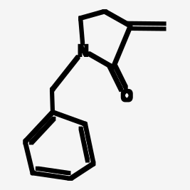 C=C1CCN(Cc2ccccc2)C1=O